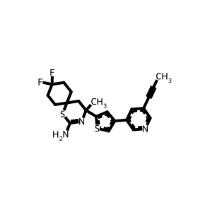 CC#Cc1cncc(-c2csc(C3(C)CC4(CCC(F)(F)CC4)SC(N)=N3)c2)c1